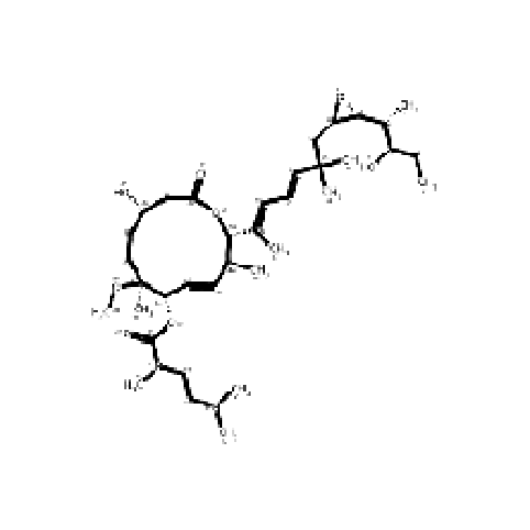 CC[C@@H](O)[C@@H](C)[C@H]1O[C@@H]1CC(C)(O)/C=C/C=C(\C)[C@H]1OC(=O)C[C@@H](O)CC[C@](C)(OC)[C@@H](OC(=O)N(C)CCN(C)C)/C=C/[C@@H]1C